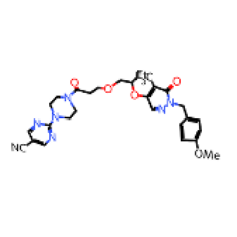 CCC(COCCC(=O)N1CCN(c2ncc(C#N)cn2)CC1)Oc1cnn(Cc2ccc(OC)cc2)c(=O)c1C(F)(F)F